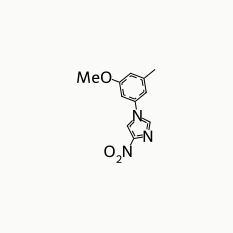 COc1cc(C)cc(-n2cnc([N+](=O)[O-])c2)c1